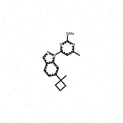 CNc1nc(C)cc(-n2ncc3ccc(C4(C)CCC4)cc32)n1